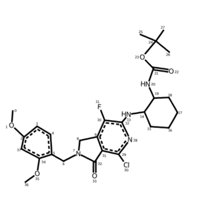 COc1ccc(CN2Cc3c(F)c(NC4CCCCC4NC(=O)OC(C)(C)C)nc(Cl)c3C2=O)c(OC)c1